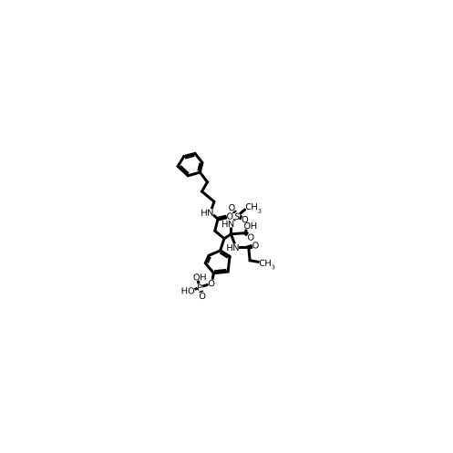 CCC(=O)NC(NS(C)(=O)=O)(C(=O)O)C(CC(=O)NCCCc1ccccc1)c1ccc(OP(=O)(O)O)cc1